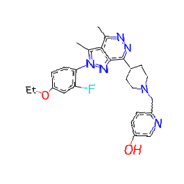 CCOc1ccc(-n2nc3c(C4CCN(Cc5ccc(O)cn5)CC4)nnc(C)c3c2C)c(F)c1